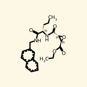 CCC[C@H](NC(=O)[C@@H]1O[C@H]1C(=O)OCC)C(=O)NCc1ccc2ccccc2c1